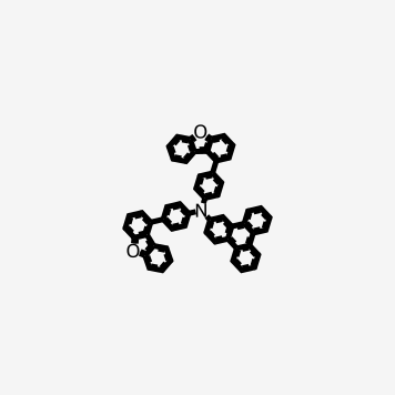 c1ccc2c(c1)oc1cccc(-c3ccc(N(c4ccc(-c5cccc6oc7ccccc7c56)cc4)c4ccc5c6ccccc6c6ccccc6c5c4)cc3)c12